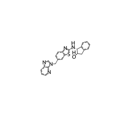 O[C@@H]1Cc2ccccc2[C@H]1Nc1nc2ccc(Cn3cnc4cccnc43)cc2s1